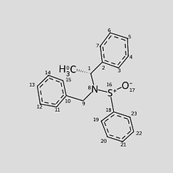 C[C@H](c1ccccc1)N(Cc1ccccc1)[S+]([O-])c1ccccc1